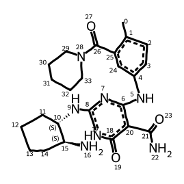 Cc1ccc(Nc2nc(N[C@H]3CCCC[C@@H]3N)[nH]c(=O)c2C(N)=O)cc1C(=O)N1CCCCC1